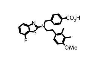 COc1ccc(CCN(Cc2ccc(C(=O)O)cc2)c2nc3cccc(F)c3s2)c(C)c1C